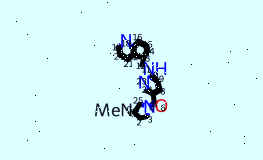 CN[C@H]1CCN(C(=O)c2ccc(NCc3cccc4ncccc34)nc2)C1